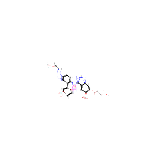 COCCOc1cc2ncnc(Nc3ccc(NCC(C)OC)cc3C3=CC(=O)C=CC3=O)c2cc1OC